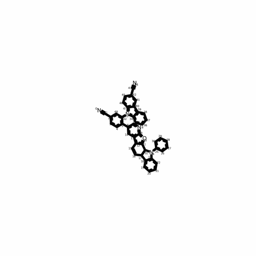 N#Cc1ccc(-c2cnc3oc4c(c3c2)C=CC2c3ccccc3N(c3ccccc3)C42)c(-n2c3ccccc3c3cc(C#N)ccc32)c1